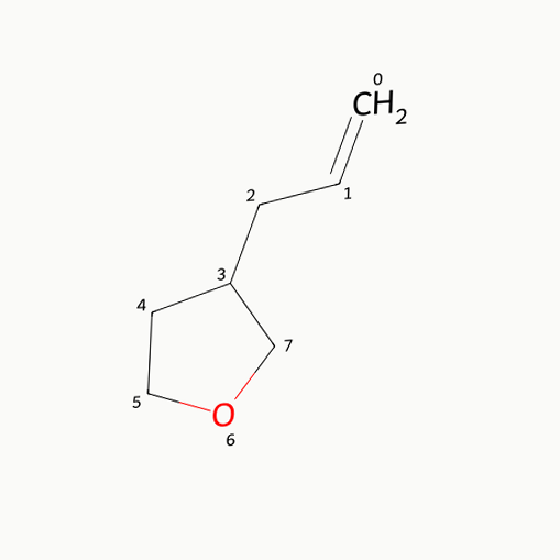 C=CCC1CCOC1